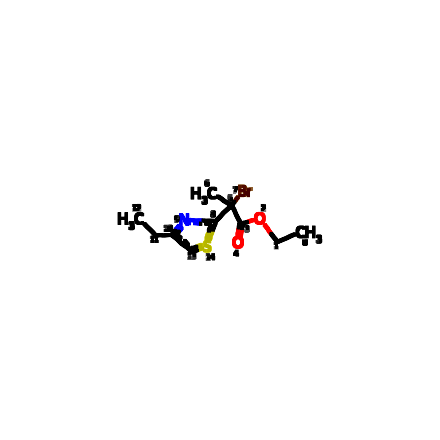 CCOC(=O)C(C)(Br)c1nc(CC)cs1